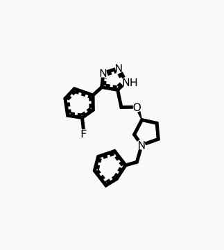 Fc1cccc(-c2nn[nH]c2CO[C@H]2CCN(Cc3ccccc3)C2)c1